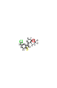 CC1(C)CCc2c(cccc2-c2csc3ccc(CCl)cc23)O1